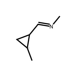 CN=CC1C[C]1C